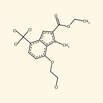 CCOC(=O)c1cc2c(C(Cl)(Cl)Cl)ccc(OCCCl)c2n1C